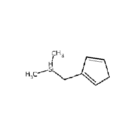 C[SiH](C)CC1=CCC=C1